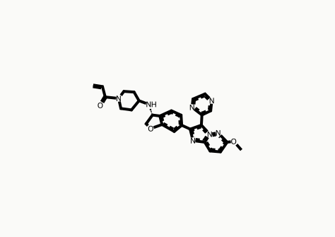 C=CC(=O)N1CCC(N[C@H]2COc3cc(-c4nc5ccc(OC)nn5c4-c4cnccn4)ccc32)CC1